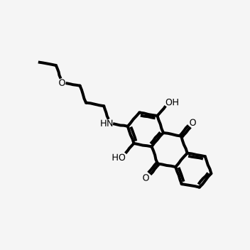 CCOCCCNc1cc(O)c2c(c1O)C(=O)c1ccccc1C2=O